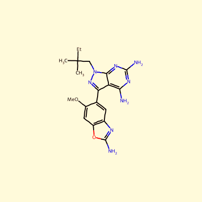 CCC(C)(C)Cn1nc(-c2cc3nc(N)oc3cc2OC)c2c(N)nc(N)nc21